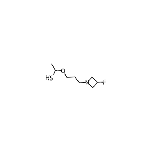 CC(S)OCCCN1CC(F)C1